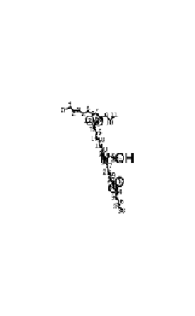 CCCCCCC(CCCCC)OC(=O)CCCCCCCN(CCO)CCCCCC(=O)OCCCCC